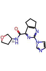 O=C(N[C@H]1CCOC1)c1nc(-n2ccnc2)nc2c1CCC2